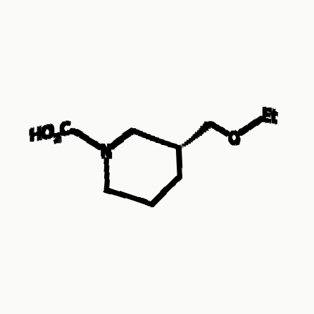 CCOC[C@@H]1CCCN(C(=O)O)C1